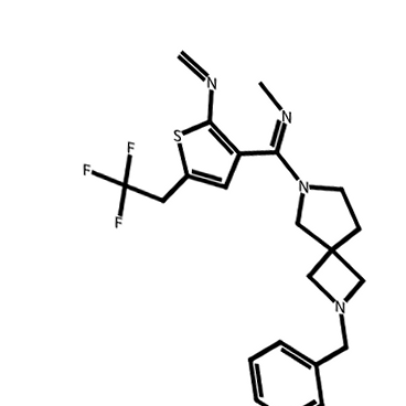 C=Nc1sc(CC(F)(F)F)cc1/C(=N\C)N1CCC2(CN(Cc3ccccc3)C2)C1